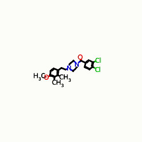 COc1ccc(CCN2CCN(C(=O)c3ccc(Cl)c(Cl)c3)CC2)c(C)c1C